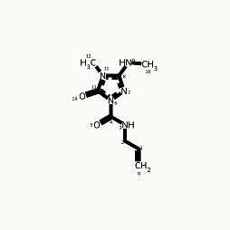 C=CCNC(=O)n1nc(NC)n(C)c1=O